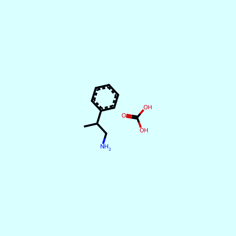 CC(CN)c1ccccc1.O=C(O)O